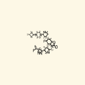 O=c1oc2cc(-c3ccnc(N4CCN(C5CCC5)CC4)c3)c(F)cc2n1Cc1ccc(-c2nnc(C(F)F)o2)cn1